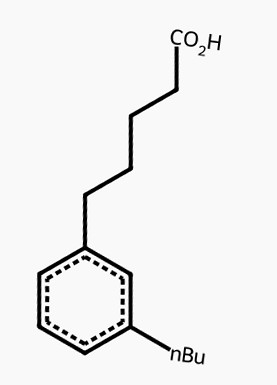 CCCCc1cccc(CCCCC(=O)O)c1